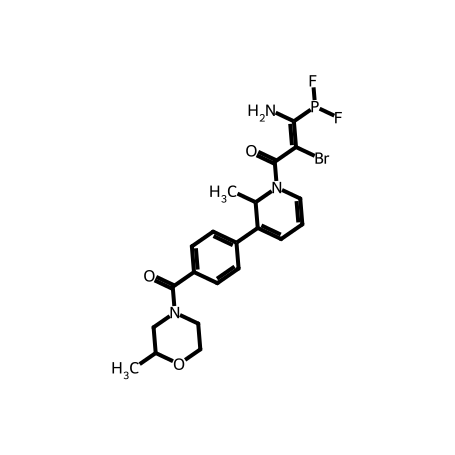 CC1CN(C(=O)c2ccc(C3=CC=CN(C(=O)/C(Br)=C(\N)P(F)F)C3C)cc2)CCO1